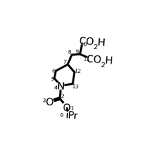 CC(C)OC(=O)N1CCC(CC(C(=O)O)C(=O)O)CC1